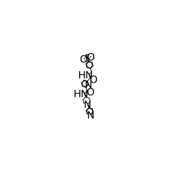 CS(=O)(=O)c1ccc(CNC(=O)c2cccc(C(=O)NC3CCN(c4ccncc4)CC3)n2)cc1